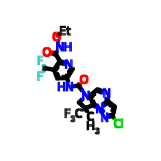 CCONC(=O)c1ncc(NC(=O)N2C[C@@](C)(C(F)(F)F)c3c2cnc2cc(Cl)nn32)cc1C(F)F